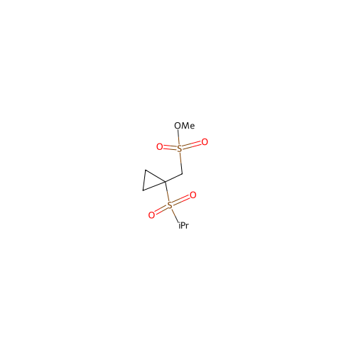 COS(=O)(=O)CC1(S(=O)(=O)C(C)C)CC1